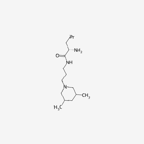 CC(C)C[C@H](N)C(=O)NCCCN1CC(C)CC(C)C1